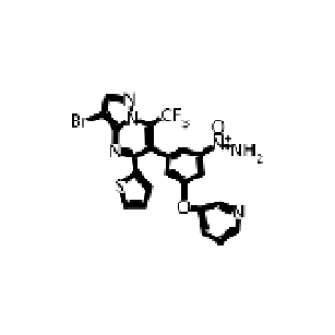 N[N+](=O)c1cc(Oc2cccnc2)cc(-c2c(-c3cccs3)nc3c(Br)cnn3c2C(F)(F)F)c1